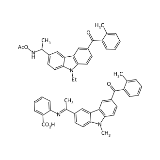 CC(=Nc1ccccc1C(=O)O)c1ccc2c(c1)c1cc(C(=O)c3ccccc3C)ccc1n2C.CCn1c2ccc(C(=O)c3ccccc3C)cc2c2cc(C(C)NOC(C)=O)ccc21